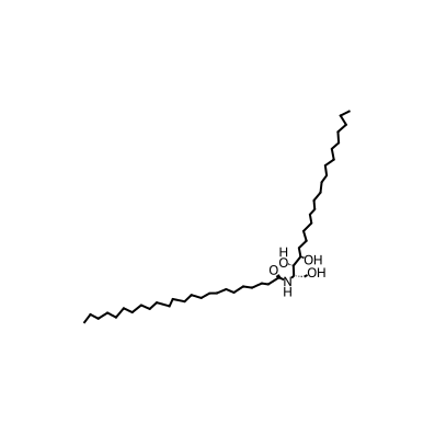 CCCCCCCCCCCCCCCCCCCCCCCC(=O)N[C@@H](CO)[C@H](O)[C@H](O)CCCCCCCCCCCCCCCCCC